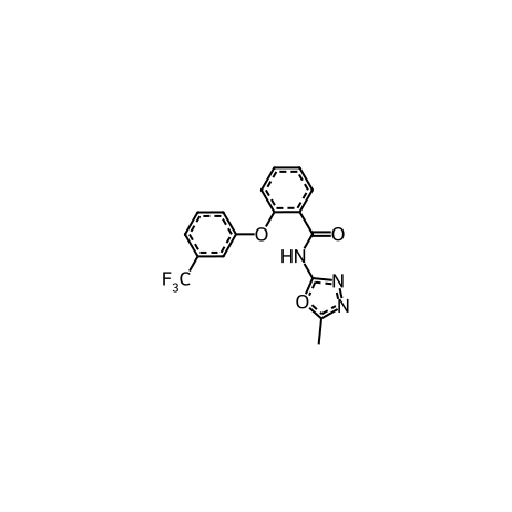 Cc1nnc(NC(=O)c2ccccc2Oc2cccc(C(F)(F)F)c2)o1